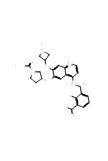 CC(=O)N1CC[C@H](Oc2cc3c(N[C@H](C)c4cccc(C(F)F)c4F)ccnc3cc2OC2CNC2)C1